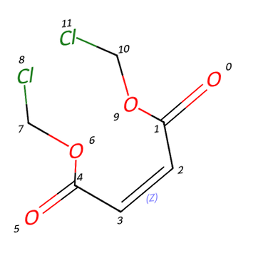 O=C(/C=C\C(=O)OCCl)OCCl